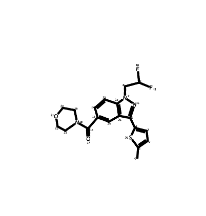 Cc1ccc(-c2nn(CC(F)F)c3ccc(C(=O)N4CCOCC4)cc23)s1